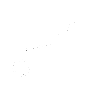 CCCCCC#CC(=O)c1ccccc1